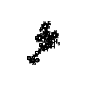 C[C@H](O)C(=O)N(C[C@@H]1CNC[C@H]1C(=O)NCCOCCN1C(=O)C=CC1=O)C(c1nc(-c2cc(F)ccc2F)cn1Cc1ccccc1)C1CCOCC1